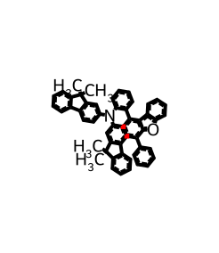 CC1(C)c2ccccc2-c2ccc(N(c3ccc4c(c3)C(C)(C)c3ccccc3-4)c3ccccc3-c3ccc(-c4ccccc4)c4oc5ccccc5c34)cc21